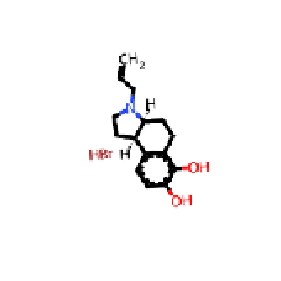 Br.C=CCN1CC[C@@H]2c3ccc(O)c(O)c3CC[C@@H]21